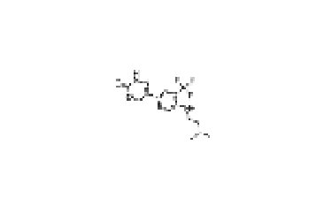 CC(C)CCNc1ccc(C2=NNC(=O)OC2)cc1C(F)(F)F